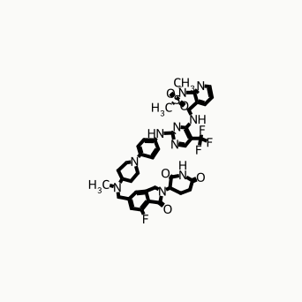 CN(Cc1cc(F)c2c(c1)CN(C1CCC(=O)NC1=O)C2=O)C1CCN(c2ccc(Nc3ncc(C(F)(F)F)c(NCc4cccnc4N(C)S(C)(=O)=O)n3)cc2)CC1